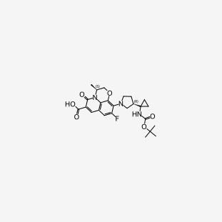 C[C@H]1COc2c(N3CC[C@@H](C4(NC(=O)OC(C)(C)C)CC4)C3)c(F)cc3cc(C(=O)O)c(=O)n1c23